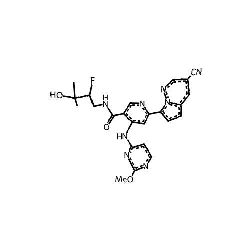 COc1nccc(Nc2cc(-c3ccc4cc(C#N)cnn34)ncc2C(=O)NCC(F)C(C)(C)O)n1